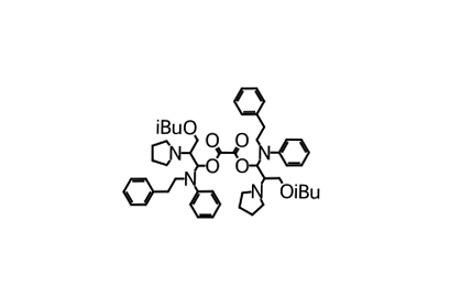 CC(C)COCC(C(OC(=O)C(=O)OC(C(COCC(C)C)N1CCCC1)N(CCc1ccccc1)c1ccccc1)N(CCc1ccccc1)c1ccccc1)N1CCCC1